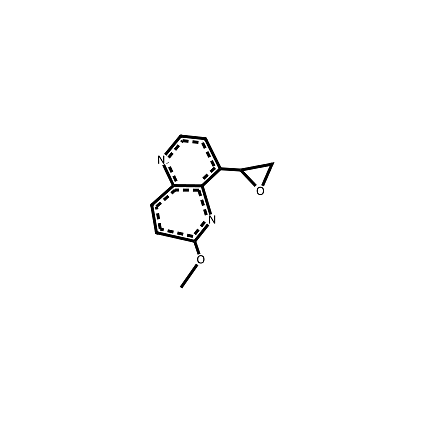 COc1ccc2nccc(C3CO3)c2n1